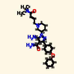 CN(C)C(=O)C=CCN1CCCC(n2nc(-c3ccc(Oc4ccccc4)cc3)c(C(N)=O)c2N)C1